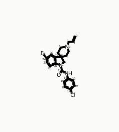 C=CCN1CCC2(CC1)CN(C(=O)Nc1ccc(Cl)cc1)c1ccc(F)cc12